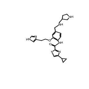 O=C(Nc1ccc(CNCC2CCNC2)cc1OCCc1c[nH]cn1)c1nc(C2CC2)cs1